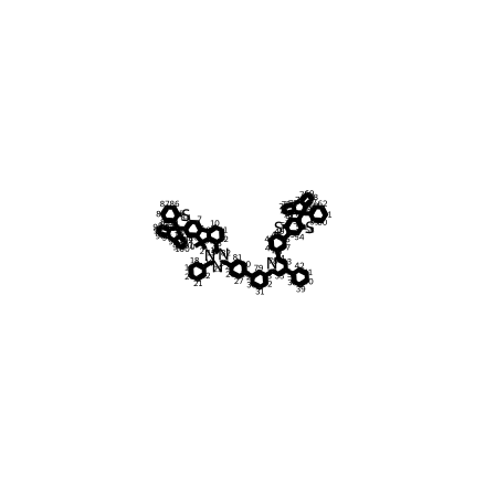 CC1(C)c2cc3c(cc2-c2cccc(-c4nc(-c5ccccc5)nc(-c5ccc(-c6cccc(-c7cc(-c8ccccc8)cc(-c8ccc9sc%10cc%11c(cc%10c9c8)Sc8ccccc8C%118c9ccccc9-c9ccccc98)n7)c6)cc5)n4)c21)Sc1ccccc1C31c2ccccc2-c2ccccc21